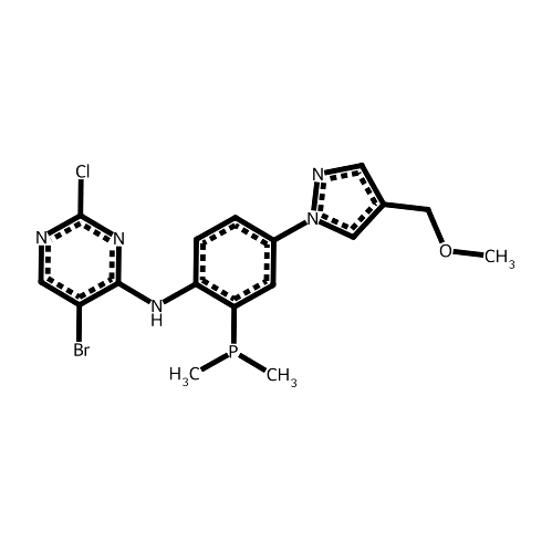 COCc1cnn(-c2ccc(Nc3nc(Cl)ncc3Br)c(P(C)C)c2)c1